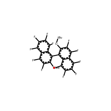 COc1c(F)c(F)c2c(F)c(F)c(F)c(F)c2c1-c1c(OC(C)(C)C)c(F)c(F)c2c(F)c(F)c(F)c(F)c12